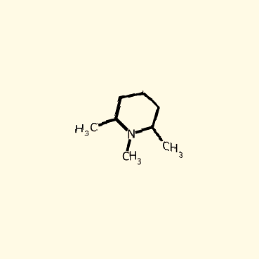 CC1C[CH]CC(C)N1C